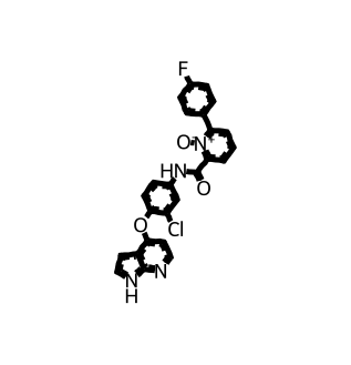 O=C(Nc1ccc(Oc2ccnc3[nH]ccc23)c(Cl)c1)c1cccc(-c2ccc(F)cc2)[n+]1[O-]